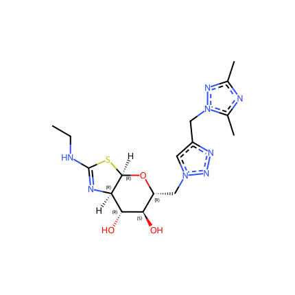 CCNC1=N[C@@H]2[C@@H](O)[C@H](O)[C@@H](Cn3cc(Cn4nc(C)nc4C)nn3)O[C@@H]2S1